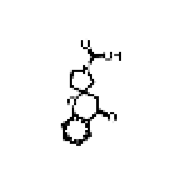 O=C1CC2(CCN(C(=O)O)C2)Oc2ccccc21